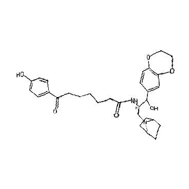 O=C(CCCCCC(=O)c1ccc(O)cc1)N[C@H](CN1C2CCC1CC2)C(O)c1ccc2c(c1)OCCO2